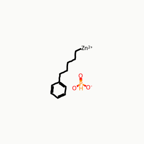 O=[PH]([O-])[O-].[Zn+2][CH2]CCCCc1ccccc1